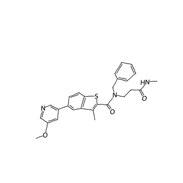 CNC(=O)CCN(Cc1ccccc1)C(=O)c1sc2ccc(-c3cncc(OC)c3)cc2c1C